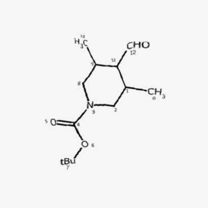 CC1CN(C(=O)OC(C)(C)C)CC(C)C1C=O